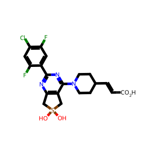 O=C(O)C=CC1CCN(c2nc(-c3cc(F)c(Cl)cc3F)nc3c2CS(O)(O)C3)CC1